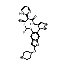 N=C/C(C(=O)NC1=CNNC1c1cc2sc(ON3CCNCC3)cc2cc1OC(F)F)=C1/N=CC=CN1